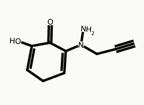 C#CCN(N)C1=CCC=C(O)C1=O